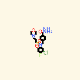 NNC(=O)c1ccc(CN(c2ccc(F)c(Cl)c2)S(=O)(=O)CCCN2CCOCC2)cc1